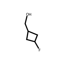 OCC1CC(F)C1